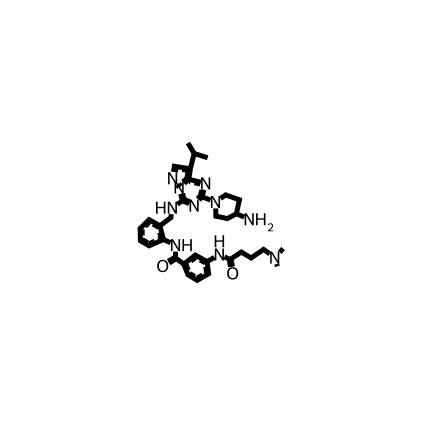 CC(C)c1cnn2c(NCc3ccccc3NC(=O)c3cccc(NC(=O)CCCN(C)C)c3)nc(N3CCC(N)CC3)nc12